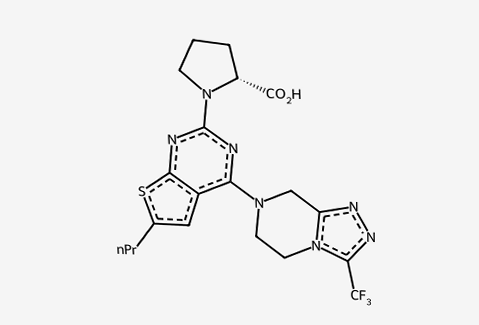 CCCc1cc2c(N3CCn4c(nnc4C(F)(F)F)C3)nc(N3CCC[C@@H]3C(=O)O)nc2s1